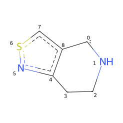 [C]1NCCc2nscc21